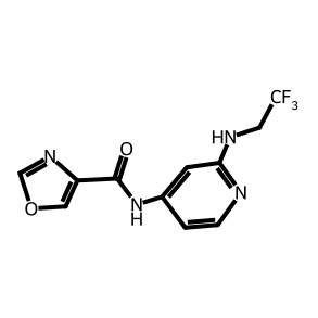 O=C(Nc1ccnc(NCC(F)(F)F)c1)c1cocn1